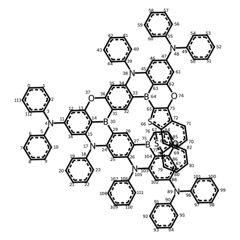 c1ccc(N(c2ccccc2)c2cc3c4c(c2)N(c2ccccc2)c2cc5c(cc2B4c2cc4c(cc2O3)N(c2ccccc2)c2cc(N(c3ccccc3)c3ccccc3)cc3c2B4c2sc4ccccc4c2O3)B2c3sc4ccccc4c3Oc3cc(N(c4ccccc4)c4ccccc4)cc(c32)N5c2ccccc2)cc1